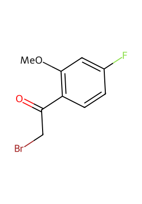 COc1cc(F)ccc1C(=O)CBr